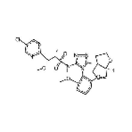 COc1cccc(OC)c1-n1c(NS(=O)(=O)[C@@H](C)[C@H](OC)c2ncc(Cl)cn2)nnc1[C@@]12CCC[C@@H]1OCC2